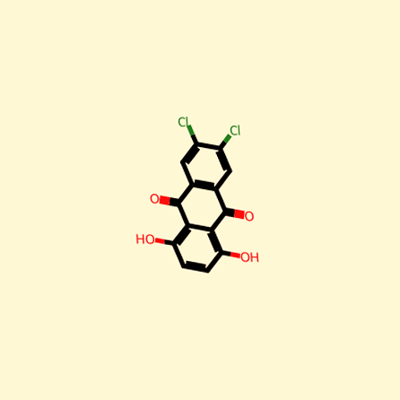 O=C1c2cc(Cl)c(Cl)cc2C(=O)c2c(O)ccc(O)c21